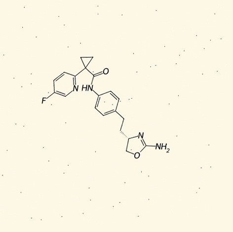 NC1=N[C@@H](CCc2ccc(NC(=O)C3(c4ccc(F)cn4)CC3)cc2)CO1